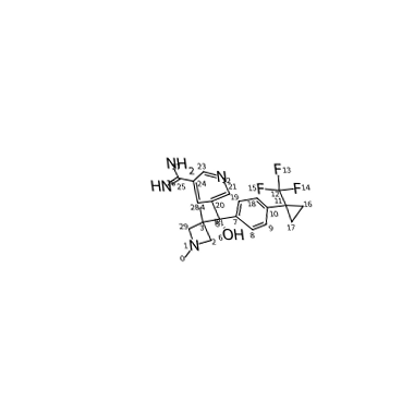 CN1CC(C)([C@](O)(c2ccc(C3(C(F)(F)F)CC3)cc2)c2cncc(C(=N)N)c2)C1